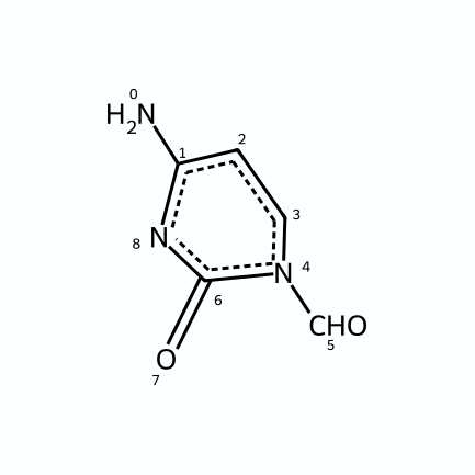 Nc1ccn(C=O)c(=O)n1